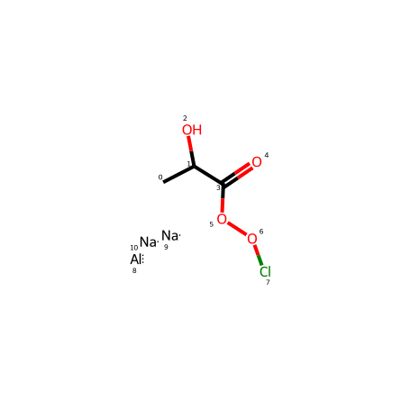 CC(O)C(=O)OOCl.[Al].[Na].[Na]